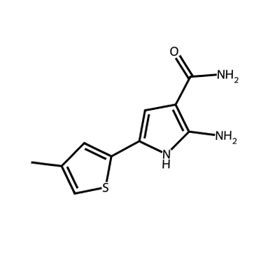 Cc1csc(-c2cc(C(N)=O)c(N)[nH]2)c1